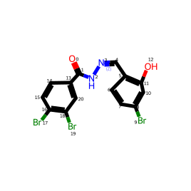 O=C(N/N=C\c1ccc(Br)cc1O)c1ccc(Br)c(Br)c1